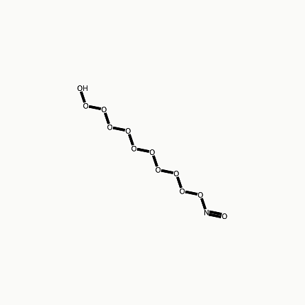 O=NOOOOOOOOOOO